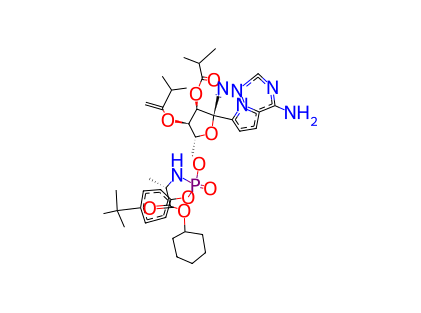 C=C(O[C@H]1[C@@H](OC(=O)C(C)C)[C@](C#N)(c2ccc3c(N)ncnn23)O[C@@H]1COP(=O)(N[C@@H](C)C(=O)OC1CCCCC1)Oc1ccc(C(C)(C)C)cc1)C(C)C